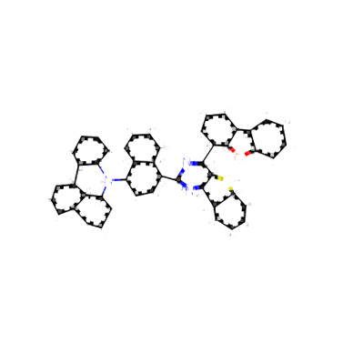 c1ccc2c(c1)-c1cccc3cccc(c13)N2c1ccc(-c2nc(-c3cccc4c3oc3ccccc34)c3sc4ccccc4c3n2)c2ccccc12